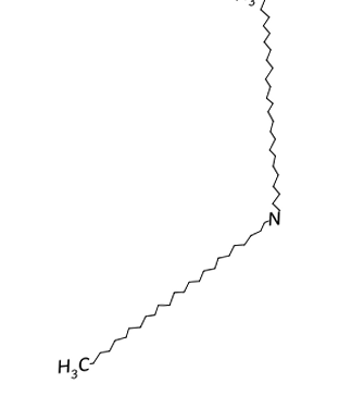 CCCCCCCCCCCCCCCCCCCCCCCCC/C=N\CCCCCCCCCCCCCCCCCCCCCCCCC